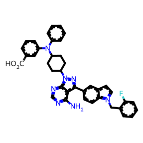 Nc1ncnc2c1c(-c1ccc3c(ccn3Cc3ccccc3F)c1)nn2C1CCC(N(c2ccccc2)c2cccc(C(=O)O)c2)CC1